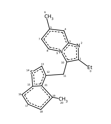 CCc1nc2cc(C)ccn2c1Cc1csc2cccc(C)c12